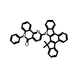 CC1(C)c2ccccc2-c2c1c1c(c3ccccc23)c2ccccc2n1-c1ccc2c(=O)n(-c3ccccc3)c3ccccc3c2n1